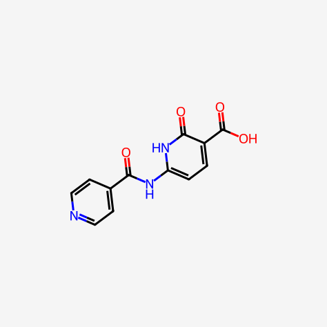 O=C(Nc1ccc(C(=O)O)c(=O)[nH]1)c1ccncc1